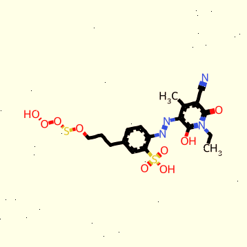 CCn1c(O)c(/N=N/c2ccc(CCCOSOOO)cc2S(=O)(=O)O)c(C)c(C#N)c1=O